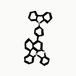 c1ccc2c(c1)sc1cc(-c3ccc(-n4c5ccccc5c5ccccc54)cc3)c3cccc4c5ccccc5n2-c1c34